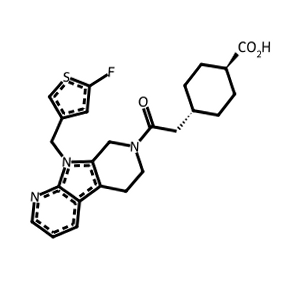 O=C(C[C@H]1CC[C@H](C(=O)O)CC1)N1CCc2c(n(Cc3csc(F)c3)c3ncccc23)C1